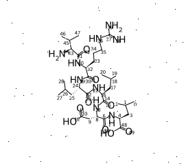 CC(C)C[C@H](NC(=O)[C@H](CC(=O)O)NC(=O)[C@H](CC(C)C)NC(=O)[C@H](CC(C)C)NC(=O)[C@H](CCCNC(=N)N)NC(=O)[C@@H](N)C(C)C)C(=O)O